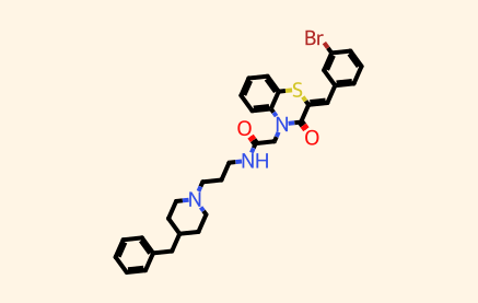 O=C(CN1C(=O)/C(=C/c2cccc(Br)c2)Sc2ccccc21)NCCCN1CCC(Cc2ccccc2)CC1